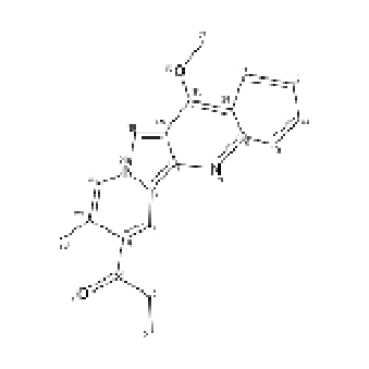 CCC(=O)c1cc2c3nc4ccccc4c(OC)c3cn2cc1C